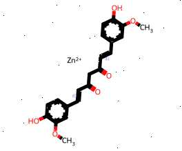 COc1cc(/C=C/C(=O)CC(=O)/C=C/c2ccc(O)c(OC)c2)ccc1O.[Zn+2]